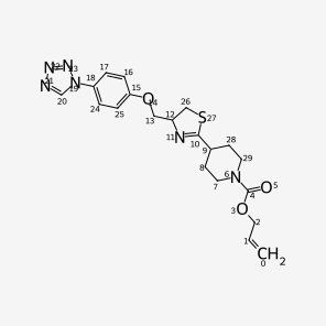 C=CCOC(=O)N1CCC(C2=NC(COc3ccc(-n4cnnn4)cc3)CS2)CC1